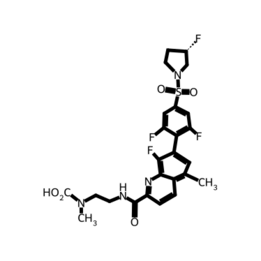 Cc1cc(-c2c(F)cc(S(=O)(=O)N3CC[C@H](F)C3)cc2F)c(F)c2nc(C(=O)NCCN(C)C(=O)O)ccc12